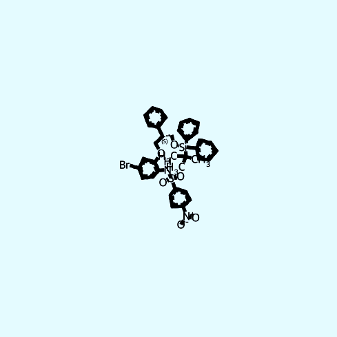 CC(C)(C)[Si](OC[C@H](COc1cc(Br)ccc1NS(=O)(=O)c1ccc([N+](=O)[O-])cc1)c1ccccc1)(c1ccccc1)c1ccccc1